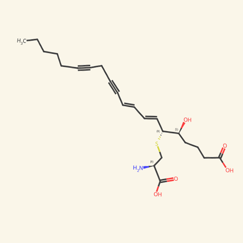 CCCCCC#CCC#CC=CC=C[C@@H](SC[C@H](N)C(=O)O)[C@@H](O)CCCC(=O)O